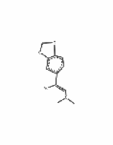 CC(=O)/C(=C\N(C)C)c1ccc2c(c1)OCO2